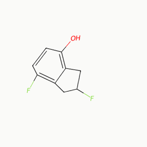 Oc1ccc(F)c2c1CC(F)C2